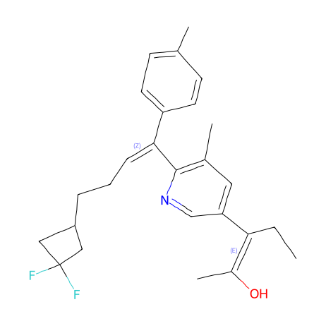 CC/C(=C(/C)O)c1cnc(/C(=C\CCC2CC(F)(F)C2)c2ccc(C)cc2)c(C)c1